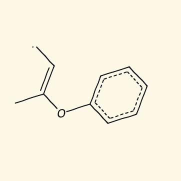 [CH2]C=C(C)Oc1ccccc1